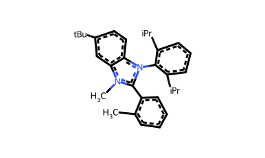 Cc1ccccc1-c1n(-c2c(C(C)C)cccc2C(C)C)c2ccc(C(C)(C)C)cc2[n+]1C